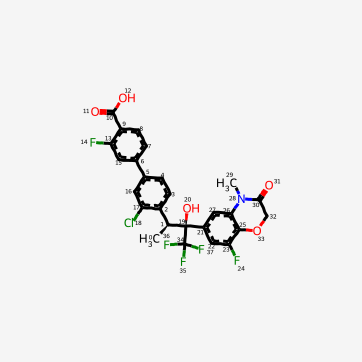 C[C@@H](c1ccc(-c2ccc(C(=O)O)c(F)c2)cc1Cl)[C@](O)(c1cc(F)c2c(c1)N(C)C(=O)CO2)C(F)(F)F